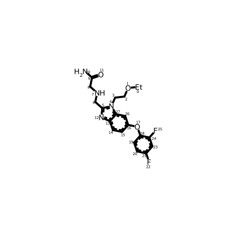 CCOCCn1c(CNCC(N)=O)nc2ccc(Oc3ccc(F)cc3F)cc21